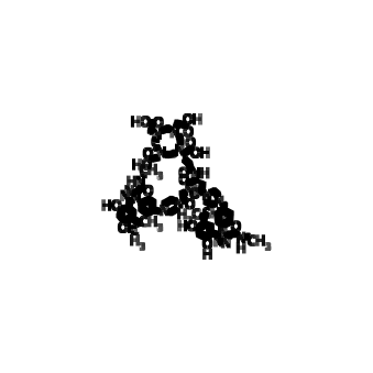 CCNC(=O)c1nnc(-c2cc(C(C)C)c(O)cc2O)n1-c1ccc(CN2CCN(C(=O)CNC(=O)[C@H](CC(=O)N3CCN(Cc4ccc(-n5c(C(=O)NCC)nnc5-c5cc(C(C)C)c(O)cc5O)cc4)CC3)NC(=O)CC[C@H](C(=O)O)N3CCN(CC(=O)O)CCN(CC(=O)O)CCN(CC(=O)O)CC3)CC2)cc1